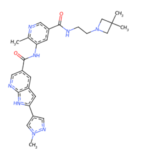 Cc1ncc(C(=O)NCCN2CC(C)(C)C2)cc1NC(=O)c1cnc2[nH]c(-c3cnn(C)c3)cc2c1